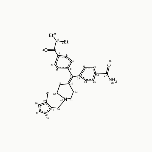 CCN(CC)C(=O)c1ccc(C(=C2CCN(Cc3sccc3C)CC2)c2ccc(C(N)=O)cc2)cc1